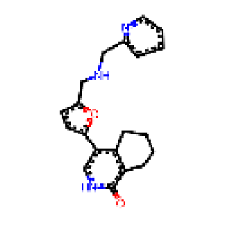 O=c1[nH]cc(-c2ccc(CNCc3ccccn3)o2)c2c1CCCC2